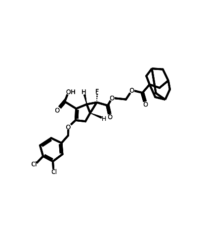 O=C(O)C1=C(OCc2ccc(Cl)c(Cl)c2)C[C@@H]2[C@H]1[C@@]2(F)C(=O)OCOC(=O)C12CC3CC(CC(C3)C1)C2